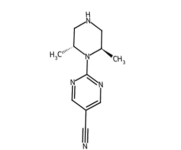 C[C@@H]1CNC[C@@H](C)N1c1ncc(C#N)cn1